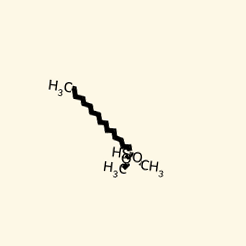 CCCCCCCCCCCCCCCC[SiH](OCC)OCC